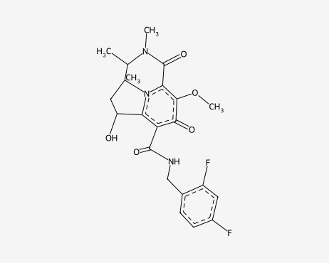 COc1c2n3c(c(C(=O)NCc4ccc(F)cc4F)c1=O)C(O)CC3(C)C(C)N(C)C2=O